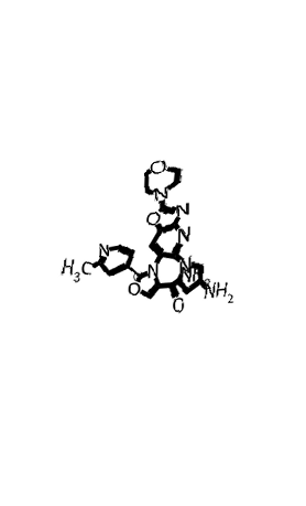 Cc1cc([C@@H]2OC=C(C(N)=O)N2c2cc3oc(N4CCOCC4)nc3nc2N2CCC(N)C2)ccn1